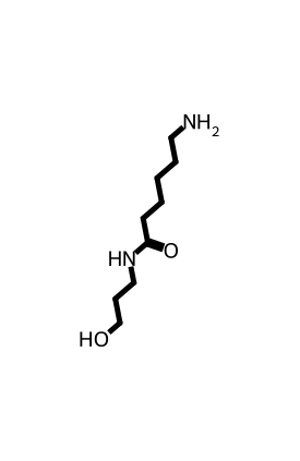 NCCCCCC(=O)NCCCO